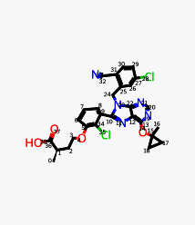 C[C@H](CCOc1cccc(-c2nc3c(OC4(C)CC4)ncnc3n2Cc2cc(Cl)ccc2C#N)c1Cl)C(=O)O